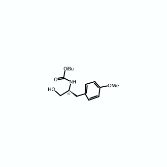 COc1ccc(C[C@@H](CO)NC(=O)OCC(C)C)cc1